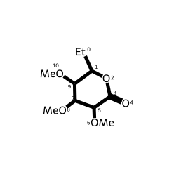 CCC1OC(=O)C(OC)C(OC)C1OC